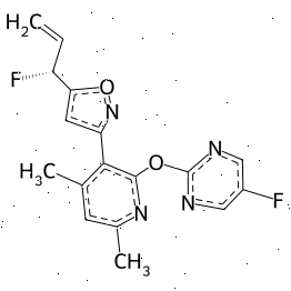 C=C[C@@H](F)c1cc(-c2c(C)cc(C)nc2Oc2ncc(F)cn2)no1